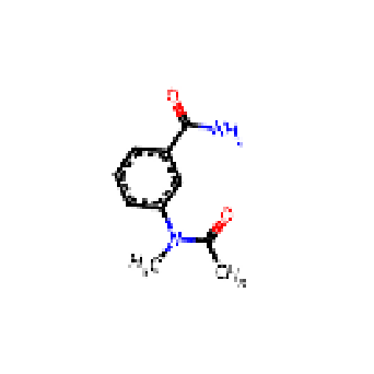 CC(=O)N(C)c1cccc(C(N)=O)c1